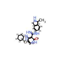 CC1NCc2cc(NC(=N)c3c(N[C@H]4CCCC[C@@H]4C)cc[nH]c3=O)ccc21